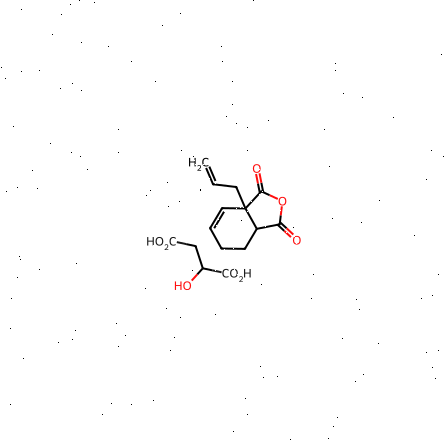 C=CCC12C=CCCC1C(=O)OC2=O.O=C(O)CC(O)C(=O)O